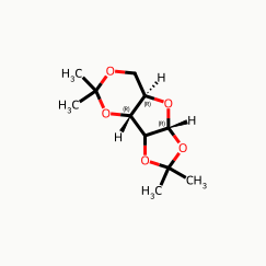 CC1(C)OC2[C@H](O[C@@H]3COC(C)(C)O[C@@H]23)O1